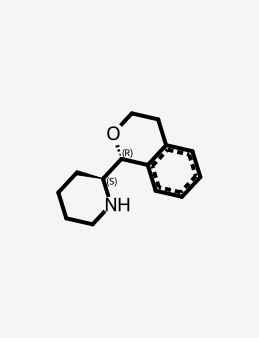 c1ccc2c(c1)CCO[C@H]2[C@@H]1CCCCN1